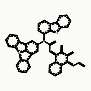 C=C/C=c1\c(=C)c(=C)/c(=C\C(=C)N(c2cc3c4ccccc4n4c5ccccc5c(c2)c34)c2cccc3c2oc2ccccc23)c2ccccc12